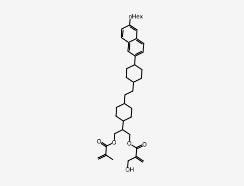 C=C(C)C(=O)OCC(COC(=O)C(=C)CO)C1CCC(CCC2CCC(c3ccc4cc(CCCCCC)ccc4c3)CC2)CC1